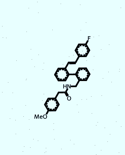 COc1ccc(CC(=O)NCc2ccccc2-c2ccccc2/C=C/c2ccc(F)cc2)cc1